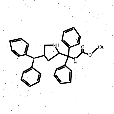 CC(C)(C)OC(=O)PC(c1ccccc1)(c1ccccc1)C1CC(P(c2ccccc2)c2ccccc2)CN1